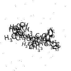 CC(C)(Sc1cc(C(C)(C)C)c(O)c(C(C)(C)C)c1)Sc1cc(C(C)(C)C)c(O)c(C(C)(C)CCOC(=O)[C@H](c2ccccc2Cl)N2CCc3sccc3C2)c1